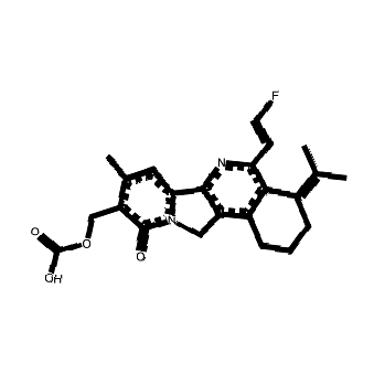 CC(C)=C1CCCc2c3c(nc(/C=C/F)c21)-c1cc(C)c(COC(=O)O)c(=O)n1C3